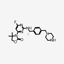 C[C@H](Nc1nc(F)cc(N2C(=O)OCC2(C)C)n1)c1ccc(CN2CCNCC2)cc1